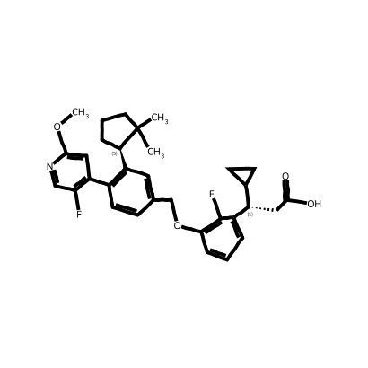 COc1cc(-c2ccc(COc3cccc([C@@H](CC(=O)O)C4CC4)c3F)cc2[C@H]2CCCC2(C)C)c(F)cn1